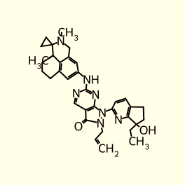 C=CCn1c(=O)c2cnc(Nc3cc4c5c(c3)CN(C)C3(CC3)C5(C)CCC4)nc2n1-c1ccc2c(n1)C(O)(CC)CC2